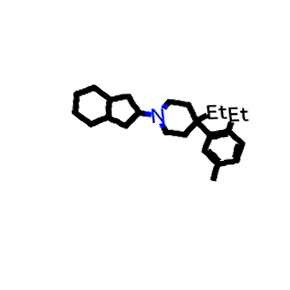 CCc1ccc(C)cc1C1(CC)CCN(C2CC3CCCCC3C2)CC1